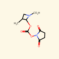 CC1CN(C(=O)O)C1OC(=O)ON1C(=O)CCC1=O